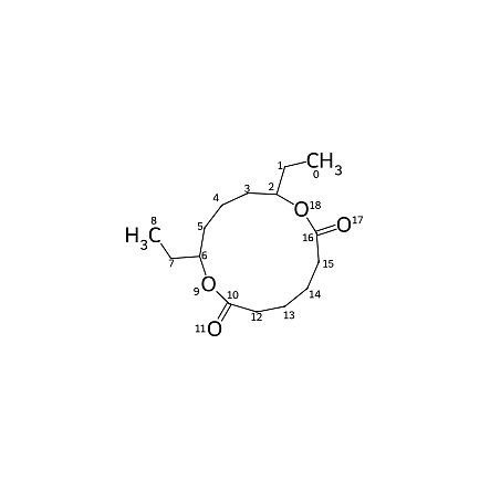 CCC1CCCC(CC)OC(=O)CCCCC(=O)O1